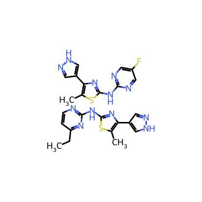 CCc1ccnc(Nc2nc(-c3cn[nH]c3)c(C)s2)n1.Cc1sc(Nc2ncc(F)cn2)nc1-c1cn[nH]c1